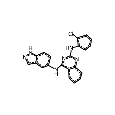 Clc1ccccc1Nc1nc(Nc2ccc3[nH]ncc3c2)c2ccccc2n1